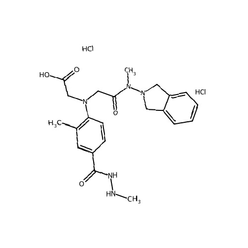 CNNC(=O)c1ccc(N(CC(=O)O)CC(=O)N(C)N2Cc3ccccc3C2)c(C)c1.Cl.Cl